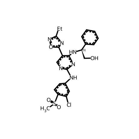 CCc1noc(-c2cnc(Nc3ccc(S(C)(=O)=O)c(Cl)c3)nc2N[C@H](CO)c2ccccc2)n1